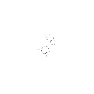 Fc1nc2ncncc2n1-c1nc(Cl)c(Cl)c(Cl)n1